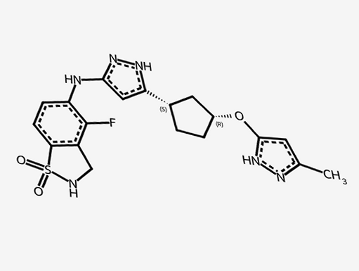 Cc1cc(O[C@@H]2CC[C@H](c3cc(Nc4ccc5c(c4F)CNS5(=O)=O)n[nH]3)C2)[nH]n1